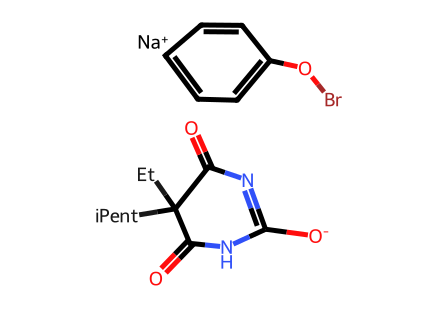 BrOc1ccccc1.CCCC(C)C1(CC)C(=O)N=C([O-])NC1=O.[Na+]